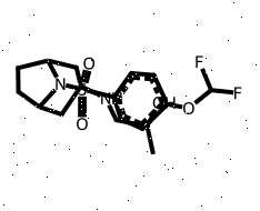 CC(O)CNC1CC2CCC(C1)N2S(=O)(=O)c1ccc(OC(F)F)cc1